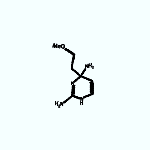 COCCC1(N)C=CNC(N)=N1